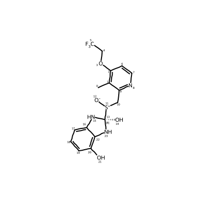 Cc1c(OCC(F)(F)F)ccnc1C[S+]([O-])[C@]1(O)Nc2cccc(O)c2N1